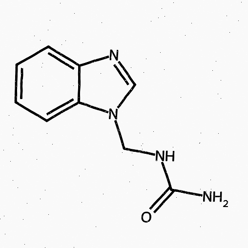 NC(=O)NCn1cnc2ccccc21